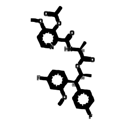 COc1cc(F)ccc1[C@H](c1ccc(F)cc1)[C@H](C)OC(=O)[C@H](C)NC(=O)c1nccc(OC)c1OC(C)=O